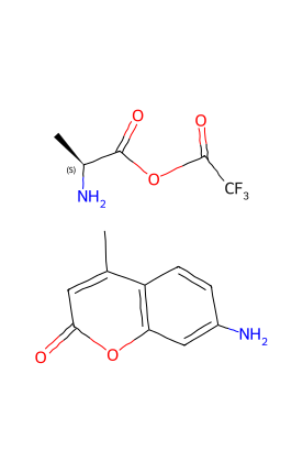 C[C@H](N)C(=O)OC(=O)C(F)(F)F.Cc1cc(=O)oc2cc(N)ccc12